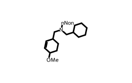 CCCCCCCCCN(CC1C=CC(OC)CC1)CC1CCCCC1